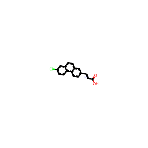 O=C(O)/C=C/c1ccc2c(ccc3cc(Cl)ccc32)c1